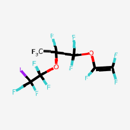 FC(F)=C(F)OC(F)(F)C(F)(OC(F)(F)C(F)(F)I)C(F)(F)F